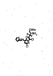 COC[C@H](N)C(F)(F)c1oc2c(NCc3cccs3)cc(Cl)nc2c1Cl